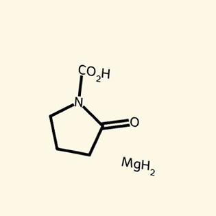 O=C(O)N1CCCC1=O.[MgH2]